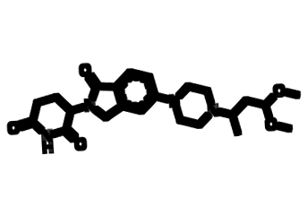 COC(CC(C)N1CCN(c2ccc3c(c2)CN(C2CCC(=O)NC2=O)C3=O)CC1)OC